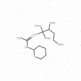 CCCCCCCCCCCCC(CCCCCC)C(P)(CCCCCC)CCCCCC.NC(=O)NC1CCCCO1